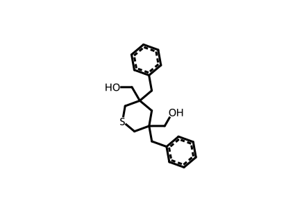 OCC1(Cc2ccccc2)CSCC(CO)(Cc2ccccc2)C1